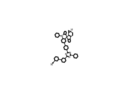 N#Cc1cccc(-c2cccc(-c3nc(-c4ccccc4)nc(-c4ccc(-c5ccc6c(c5)C5(C7=C(C=C[C@H]8C=C78)c7ccccc75)c5ccccc5N6c5ccccc5)cc4)n3)c2)c1